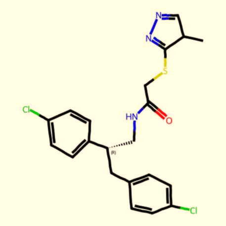 CC1C=NN=C1SCC(=O)NC[C@H](Cc1ccc(Cl)cc1)c1ccc(Cl)cc1